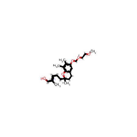 COCCOCOc1cc2c(c(C)c1C)OC(C)(CC/C=C(\C)CO)CC2